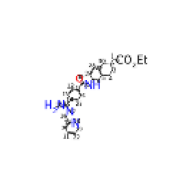 CCOC(=O)CC1CCc2cc(NC(=O)c3ccc(C(N)=NCc4ccccn4)cc3)ccc2C1